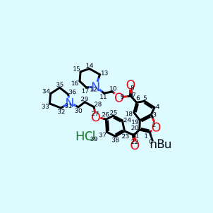 CCCCc1oc2ccc(C(=O)OCCN3CCCCC3)cc2c1C(=O)c1ccc(OCCCN2CCCCC2)cc1.Cl